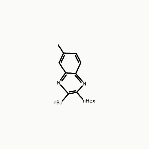 CCCCCCc1nc2ccc(C)cc2nc1CCCC